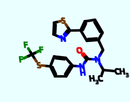 CC(C)N(Cc1cccc(-c2nccs2)c1)C(=O)Nc1ccc(SC(F)(F)F)cc1